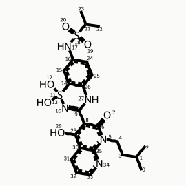 CC(C)CCn1c(=O)c(C2=NS(O)(O)c3cc(NS(=O)(=O)C(C)C)ccc3N2)c(O)c2cccnc21